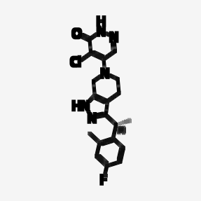 Cc1cc(F)ccc1[C@@H](C)c1n[nH]c2c1CCN(c1cn[nH]c(=O)c1Cl)C2